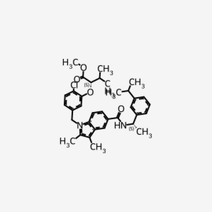 COC(=O)[C@@H](Oc1cc(Cn2c(C)c(C)c3cc(C(=O)N[C@@H](C)c4cccc(C(C)C)c4)ccc32)ccc1Cl)C(C)C